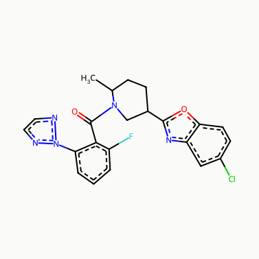 CC1CCC(c2nc3cc(Cl)ccc3o2)CN1C(=O)c1c(F)cccc1-n1nccn1